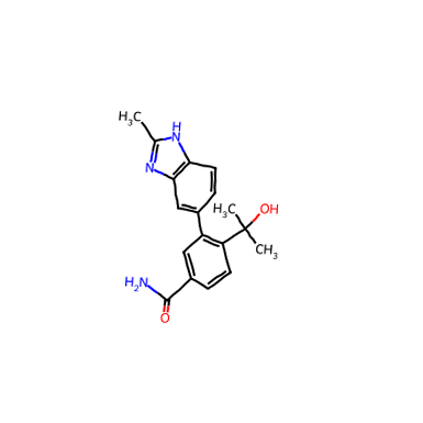 Cc1nc2cc(-c3cc(C(N)=O)ccc3C(C)(C)O)ccc2[nH]1